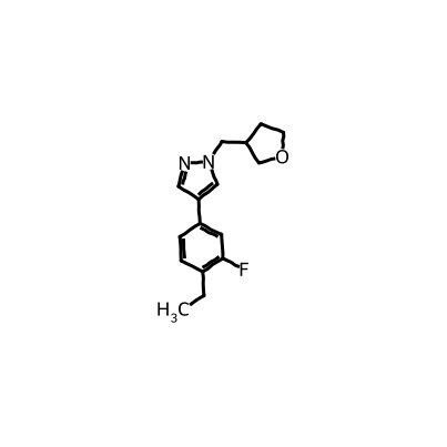 CCc1ccc(-c2cnn(CC3CCOC3)c2)cc1F